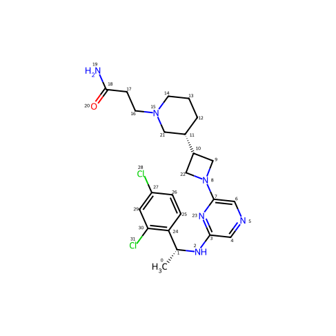 C[C@@H](Nc1cncc(N2CC([C@H]3CCCN(CCC(N)=O)C3)C2)n1)c1ccc(Cl)cc1Cl